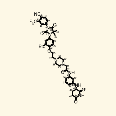 CCc1cc(N2C(=S)N(c3ccc(C#N)c(C(F)(F)F)c3)C(=O)C2(C)C)ccc1OCCN1CCN(CC(=O)Nc2cccc(N[C@@H]3CCC(=O)NC3=O)c2)CC1